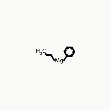 C/C=C/[CH2][Mg][CH2]c1ccccc1